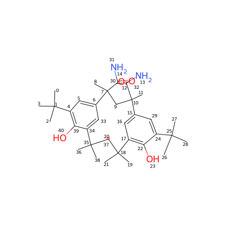 CC(C)(C)c1cc(C(C)(CC(C)(C(N)=O)c2cc(C(C)(C)C)c(O)c(C(C)(C)C)c2)C(N)=O)cc(C(C)(C)C)c1O